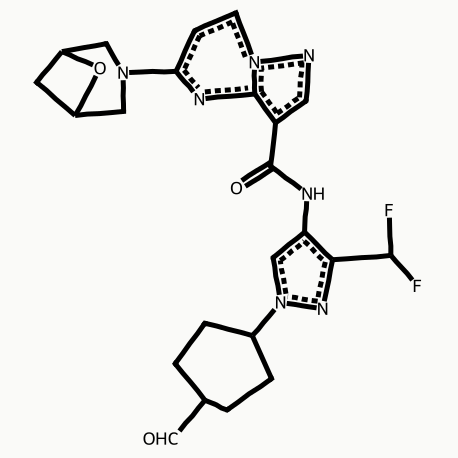 O=CC1CCC(n2cc(NC(=O)c3cnn4ccc(N5CC6CC(C5)O6)nc34)c(C(F)F)n2)CC1